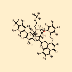 [2H]c1c([2H])c(F)c(F)c(CSc2c([2H])c(=O)c3c([2H])c([2H])c([2H])c([2H])c3n2CC(=O)N(Cc2c([2H])c([2H])c(-c3c([2H])c([2H])c(C(F)(F)F)c([2H])c3[2H])c([2H])c2C)C2([2H])C([2H])([2H])C([2H])([2H])N(CCOC([2H])([2H])[2H])C([2H])([2H])C2([2H])[2H])c1[2H]